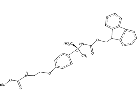 CC(C)(C)OC(=O)NCCOc1ccc([C@@](C)(NC(=O)OCC2c3ccccc3-c3ccccc32)C(=O)O)cc1